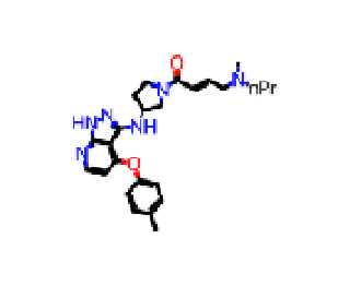 CCCN(C)C/C=C/C(=O)N1CC[C@@H](Nc2n[nH]c3nccc(Oc4ccc(C)cc4)c23)C1